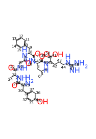 CC(C)CC(NC(=O)C(Cc1ccccc1)NC(=O)CNC(=O)C(C)NC(=O)C(N)Cc1ccc(O)cc1)C(=O)NC(CCCNC(=N)N)C(=O)O